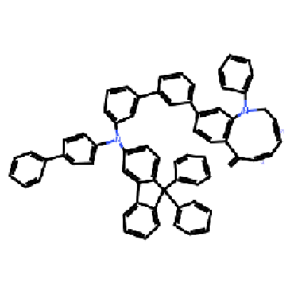 C=C1/C=C\C=C/CN(c2ccccc2)c2cc(-c3cccc(-c4cccc(N(c5ccc(-c6ccccc6)cc5)c5ccc6c(c5)-c5ccccc5C6(c5ccccc5)c5ccccc5)c4)c3)ccc21